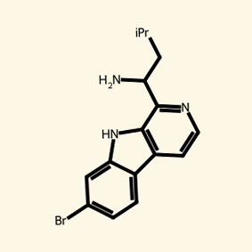 CC(C)CC(N)c1nccc2c1[nH]c1cc(Br)ccc12